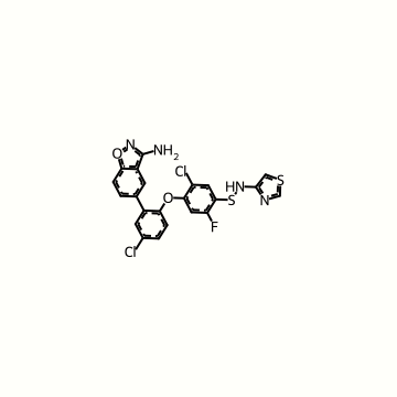 Nc1noc2ccc(-c3cc(Cl)ccc3Oc3cc(F)c(SNc4cscn4)cc3Cl)cc12